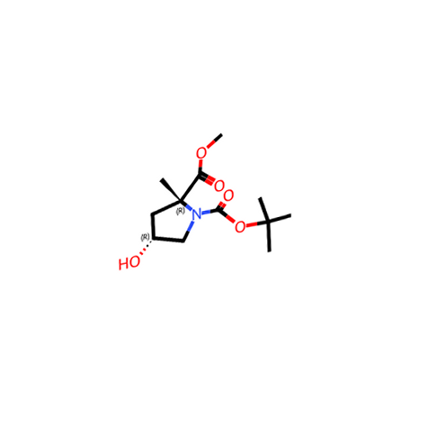 COC(=O)[C@@]1(C)C[C@@H](O)CN1C(=O)OC(C)(C)C